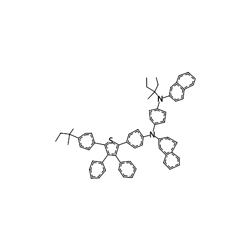 CCC(C)(C)c1ccc(-c2sc(-c3ccc(N(c4ccc(N(c5ccc6ccccc6c5)C(C)(CC)CC)cc4)c4ccc5ccccc5c4)cc3)c(-c3ccccc3)c2-c2ccccc2)cc1